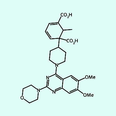 COc1cc2nc(N3CCOCC3)nc(N3CCC(C4(C(=O)O)C=CC=C(C(=O)O)C4C)CC3)c2cc1OC